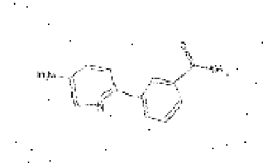 NC(=O)c1cccc(-c2ccc(N)nn2)c1